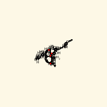 CCCCCOc1ccc(S(=O)(=O)NCCCCNCc2c(O)cc3c(c2C)-c2cc(ccc2O)[C@H]2NC(=O)[C@@H]4NC(=O)[C@H](CC(N)=O)NC(=O)[C@H](NC(=O)[C@@H](CC(C)C)NC)[C@H](O)c5ccc(c(C)c5)Oc5cc4cc(c5O[C@@H]4O[C@H](CO)[C@@H](O)[C@H](O)[C@H]4O[C@H]4C[C@]5(C)NC(=O)O[C@@H]5[C@H](C)O4)Oc4ccc(cc4Cl)[C@@H](O)[C@H](NC2=O)C(=O)N[C@@H]3C(=O)O)cc1